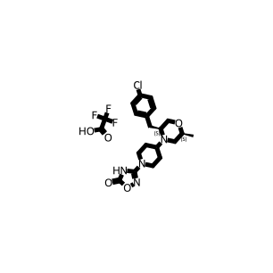 C[C@H]1CN(C2CCN(c3noc(=O)[nH]3)CC2)[C@@H](Cc2ccc(Cl)cc2)CO1.O=C(O)C(F)(F)F